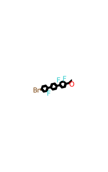 Fc1cc(Br)ccc1-c1ccc(C2=CC=C(C3CO3)C(F)C2F)cc1